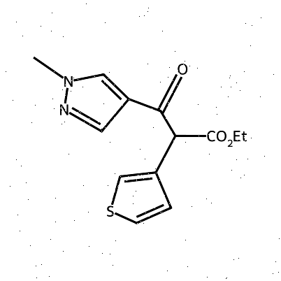 CCOC(=O)C(C(=O)c1cnn(C)c1)c1ccsc1